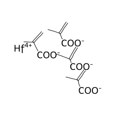 C=C(C)C(=O)[O-].C=C(C)C(=O)[O-].C=C(C)C(=O)[O-].C=C(C)C(=O)[O-].[Hf+4]